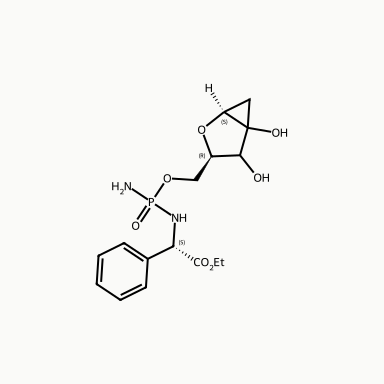 CCOC(=O)[C@@H](NP(N)(=O)OC[C@H]1O[C@H]2CC2(O)C1O)c1ccccc1